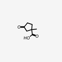 CC1(C(=O)O)CCC(=O)C1